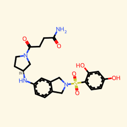 NC(=O)CCC(=O)N1CC[C@H](Nc2ccc3c(c2)CN(S(=O)(=O)c2ccc(O)cc2O)C3)C1